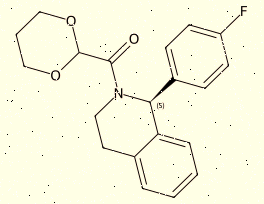 O=C(C1OCCCO1)N1CCc2ccccc2[C@@H]1c1ccc(F)cc1